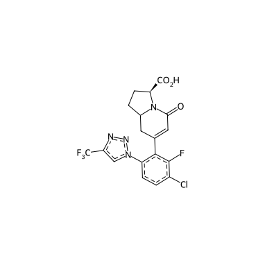 O=C(O)[C@@H]1CCC2CC(c3c(-n4cc(C(F)(F)F)nn4)ccc(Cl)c3F)=CC(=O)N21